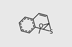 COC12C=Cc3ccccc3C1S2